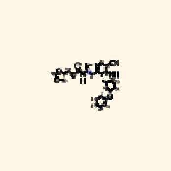 CC/C(=C\N1CC(Nc2ccc(Oc3ccccc3)cc2)=C(C#N)C=N1)NC(=O)OCC1COCO1